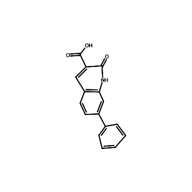 O=C(O)c1cc2ccc(-c3ccccc3)cc2[nH]c1=O